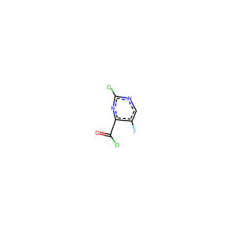 O=C(Cl)c1nc(Cl)ncc1F